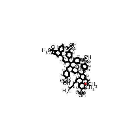 C=CCC/C=C/C1C(C(=C)/C=C\C(=C)C(=C\C2C=CC(S(=O)(=O)O)=CC2)/C(=C(\C=C/Cc2cc3c(c4ccccc24)C(C)(C)C3)c2ccc(S(=O)(=O)O)cc2)c2ccccc2)=C(c2ccc(S(=O)(=O)O)cc2)C=C(CC(C)(C)C)C1C1C=CC(S(=O)(=O)O)=CC1